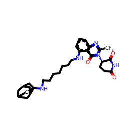 O=C1CC[C@@H](n2c(C(F)(F)F)nc3cccc(NCCCCCCCNC45CC6CC(CC4C6)C5)c3c2=O)C(=O)N1